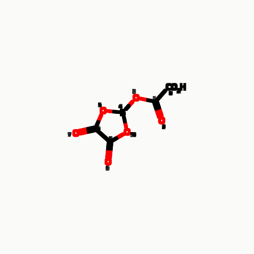 O=C(O)C(=O)OB1OC(=O)C(=O)O1